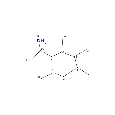 CCCC(C)C(C)C(C)CC(C)N